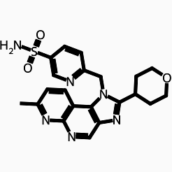 Cc1ccc2c(ncc3nc(C4CCOCC4)n(Cc4ccc(S(N)(=O)=O)cn4)c32)n1